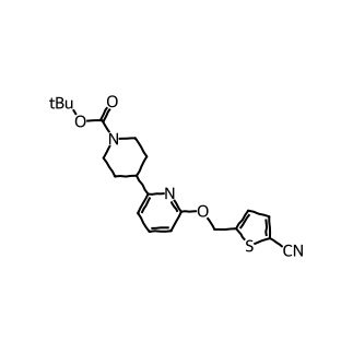 CC(C)(C)OC(=O)N1CCC(c2cccc(OCc3ccc(C#N)s3)n2)CC1